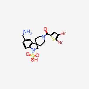 NCc1ccc2c(c1)C1(CCN(C(=O)c3cc(Br)c(Br)s3)CC1)CN2S(=O)(=O)O